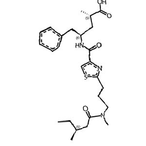 CC[C@H](C)CC(=O)N(C)CCCc1nc(C(=O)N[C@@H](Cc2ccccc2)C[C@H](C)C(=O)O)cs1